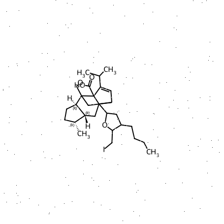 CCCCC1CC(C23C[C@@H]4[C@H](C)CC[C@H]4C4(C=O)CC2C=C(C(C)C)C34C(=O)O)OC1CI